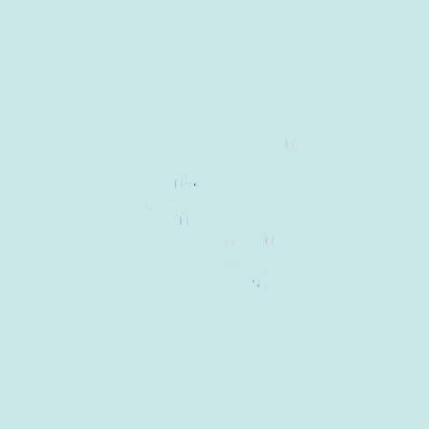 CCCCCCC(C)(C)c1ccc([C@H]2CCC[C@@H](O)C2)c(OOP(=O)(O)O)c1.[NaH]